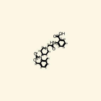 Cc1cccc2c1N(C1CCN(CC(=O)Nc3ccccc3C(=O)O)CC1)C(=O)OC2